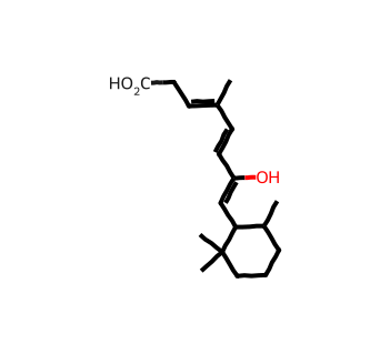 CC(C=CC(O)=CC1C(C)CCCC1(C)C)=CCC(=O)O